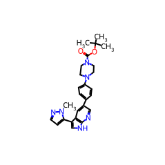 Cn1nccc1-c1c[nH]c2ncc(-c3ccc(N4CCN(C(=O)OC(C)(C)C)CC4)cc3)cc12